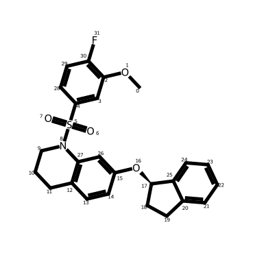 COc1cc(S(=O)(=O)N2CCCc3ccc(O[C@@H]4CCc5ccccc54)cc32)ccc1F